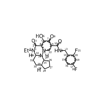 CCN1C(=O)c2c(O)c(=O)c(C(=O)NCc3ccc(F)cc3F)cn2N2[C@H]3CCC[C@H]3CC[C@@H]12